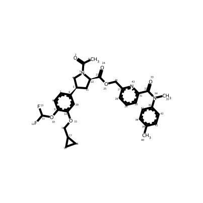 CC(=O)N1C[C@H](c2ccc(OC(F)F)c(OCC3CC3)c2)C[C@@H]1C(=O)OCc1cccc(C(=O)N(C)c2ccc(C)cc2)n1